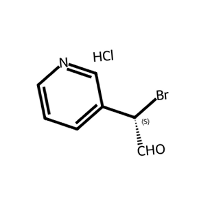 Cl.O=C[C@@H](Br)c1cccnc1